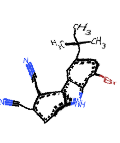 CC(C)(C)c1cc(Br)c2[nH]c3ccc(C#N)c(C#N)c3c2c1